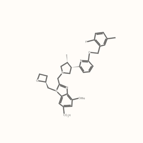 COc1cc(C(=O)O)cc2c1nc(CN1C[C@H](C)[C@H](c3cccc(OCc4cc(C)ccc4F)n3)C1)n2C[C@@H]1CCO1